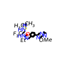 CCN(Cc1cccc(-c2cn3ccnc3c(OC)n2)c1)C(=O)NC(CNSN(C)C)C(F)(F)F